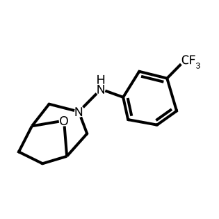 FC(F)(F)c1cccc(NN2CC3CCC(C2)O3)c1